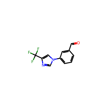 O=Cc1cccc(-n2cnc(C(F)(F)F)c2)c1